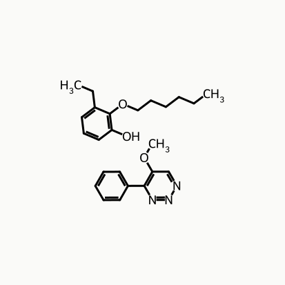 CCCCCCOc1c(O)cccc1CC.COc1cnnnc1-c1ccccc1